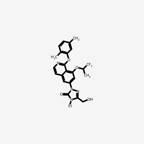 CCn1c(CO)nn(-c2cc(OC(C)C(F)(F)F)c3c(Oc4cc(C)ccc4C)nccc3c2)c1=O